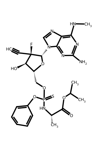 C#C[C@@]1(F)[C@H](O)[C@@H](COP(=S)(N[C@@H](C)C(=O)OC(C)C)Oc2ccccc2)O[C@H]1n1cnc2c(NC)nc(N)nc21